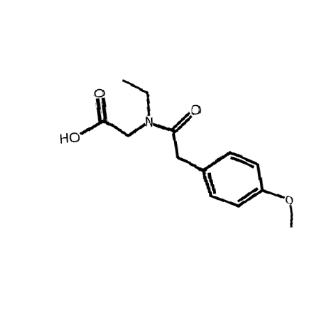 CCN(CC(=O)O)C(=O)Cc1ccc(OC)cc1